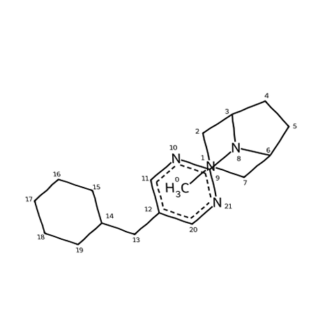 CN1CC2CCC(C1)N2c1ncc(CC2CCCCC2)cn1